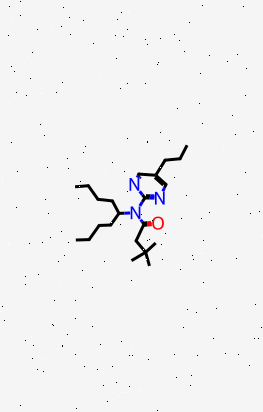 CCCCC(CCCC)N(C(=O)CC(C)(C)C)c1ncc(CCC)cn1